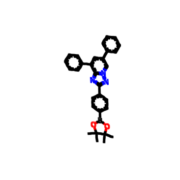 CC1(C)OB(c2ccc(-c3nc4c(-c5ccccc5)cc(-c5ccccc5)cn4n3)cc2)OC1(C)C